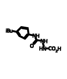 CCC(C)c1ccc(NC(=O)NNC(=O)O)cc1